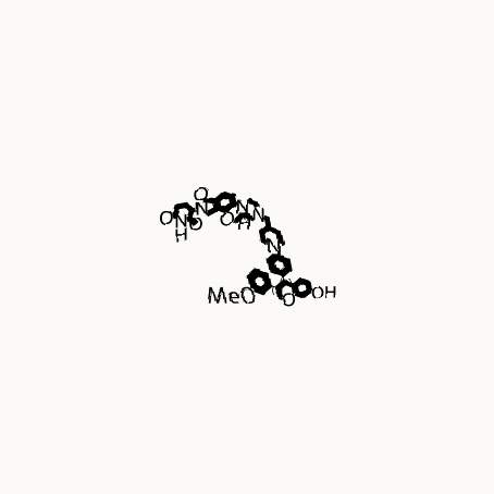 COc1cccc([C@H]2COc3cc(O)ccc3[C@H]2c2ccc(N3CCC(CN4CCN5c6ccc7c(c6OC[C@H]5C4)CN(C4CCC(=O)NC4=O)C7=O)CC3)cc2)c1